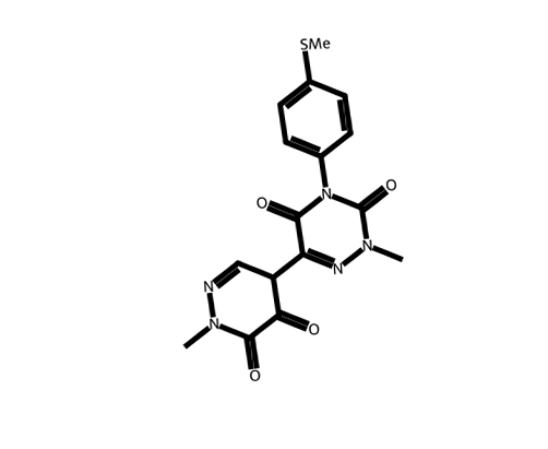 CSc1ccc(-n2c(=O)c(C3C=NN(C)C(=O)C3=O)nn(C)c2=O)cc1